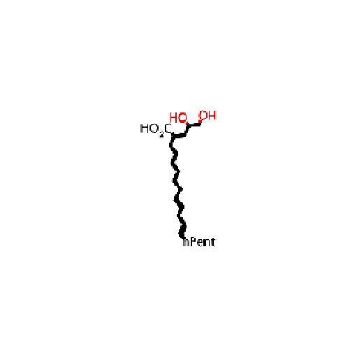 CCCCC/C=C/C/C=C/CCCCCCC(CC(O)CO)C(=O)O